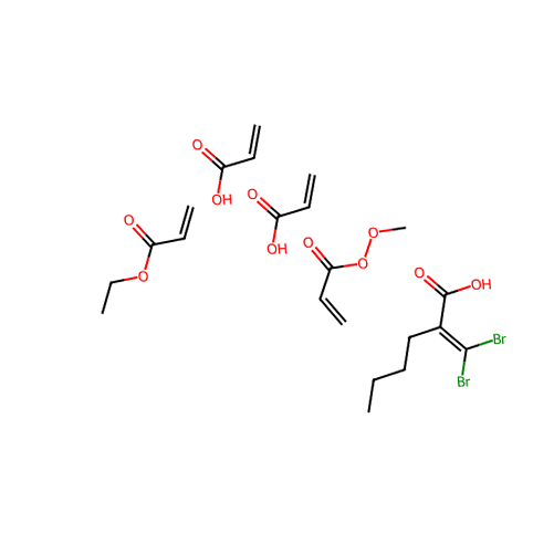 C=CC(=O)O.C=CC(=O)O.C=CC(=O)OCC.C=CC(=O)OOC.CCCCC(C(=O)O)=C(Br)Br